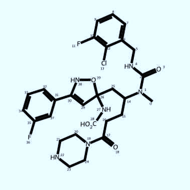 CN(C(=O)NCc1cccc(F)c1Cl)C(CCC(=O)N1CCNCC1)CC1(NC(=O)O)C=C(c2cccc(F)c2)NO1